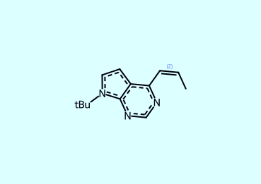 C/C=C\c1ncnc2c1ccn2C(C)(C)C